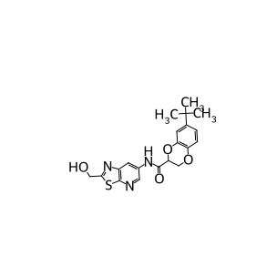 CC(C)(C)c1ccc2c(c1)OC(C(=O)Nc1cnc3sc(CO)nc3c1)CO2